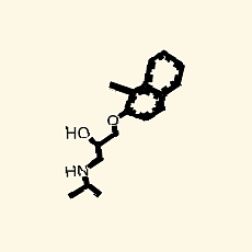 Cc1c(OCC(O)CNC(C)C)ccc2ccccc12